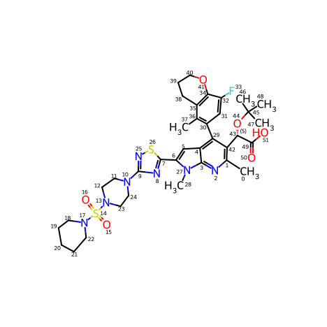 Cc1nc2c(cc(-c3nc(N4CCN(S(=O)(=O)N5CCCCC5)CC4)ns3)n2C)c(-c2cc(F)c3c(c2C)CCCO3)c1[C@H](OC(C)(C)C)C(=O)O